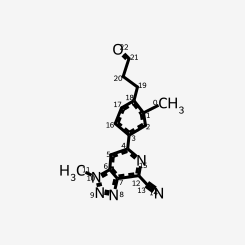 Cc1cc(-c2cc3c(nnn3C)c(C#N)n2)ccc1CCC=O